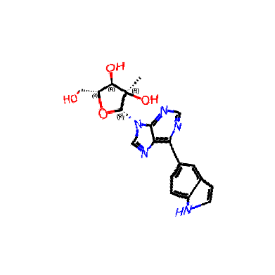 C[C@@]1(O)[C@H](O)[C@@H](CO)O[C@H]1n1cnc2c(-c3ccc4[nH]ccc4c3)ncnc21